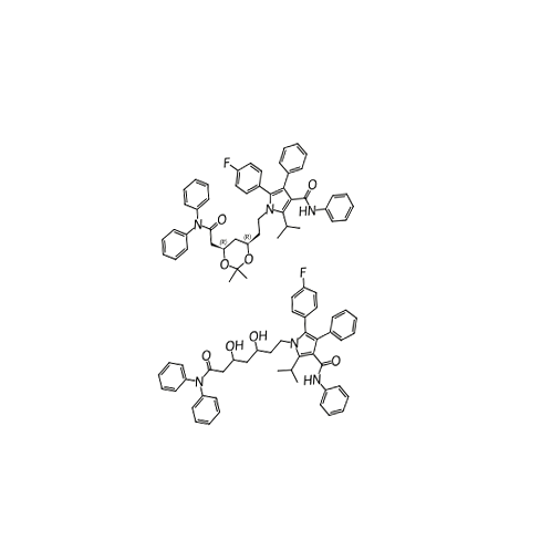 CC(C)c1c(C(=O)Nc2ccccc2)c(-c2ccccc2)c(-c2ccc(F)cc2)n1CCC(O)CC(O)CC(=O)N(c1ccccc1)c1ccccc1.CC(C)c1c(C(=O)Nc2ccccc2)c(-c2ccccc2)c(-c2ccc(F)cc2)n1CC[C@@H]1C[C@H](CC(=O)N(c2ccccc2)c2ccccc2)OC(C)(C)O1